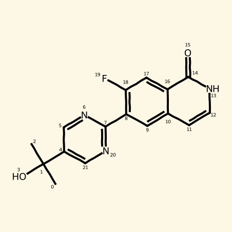 CC(C)(O)c1cnc(-c2cc3cc[nH]c(=O)c3cc2F)nc1